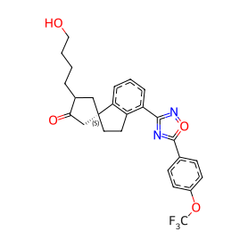 O=C1C[C@]2(CCc3c(-c4noc(-c5ccc(OC(F)(F)F)cc5)n4)cccc32)CC1CCCCO